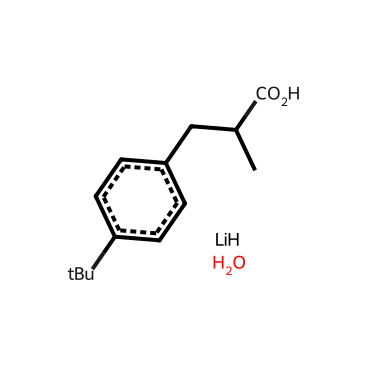 CC(Cc1ccc(C(C)(C)C)cc1)C(=O)O.O.[LiH]